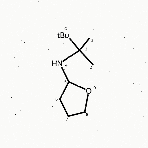 CC(C)(C)C(C)(C)NC1CCCO1